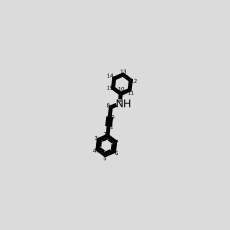 C(#Cc1c[c]ccc1)CNC1CCCCC1